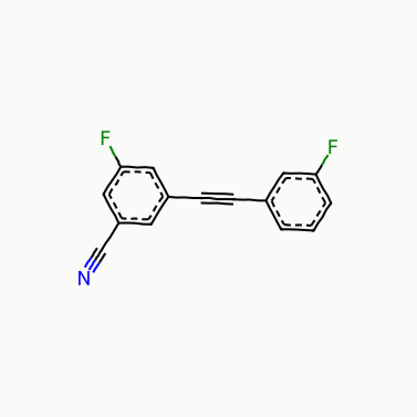 N#Cc1cc(F)cc(C#Cc2cccc(F)c2)c1